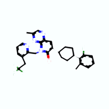 Cc1cnc2cc([C@H]3CC[C@H](c4c(C)cccc4F)CC3)c(=O)n(Cc3ncccc3CC(F)(F)F)c2n1